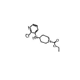 CCOC(=O)N1CCC(Nc2cccnc2Cl)CC1